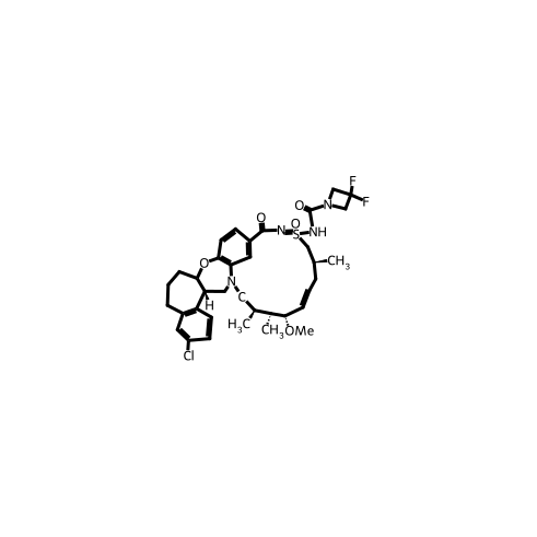 CO[C@H]1/C=C/C[C@H](C)CS(=O)(NC(=O)N2CC(F)(F)C2)=NC(=O)c2ccc3c(c2)N(C[C@@H]2c4ccc(Cl)cc4CCCC2O3)C[C@H](C)[C@H]1C